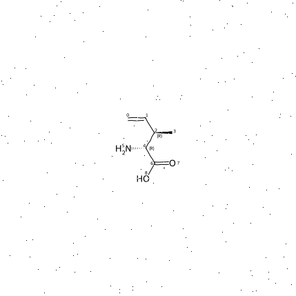 C=C[C@@H](C)[C@@H](N)C(=O)O